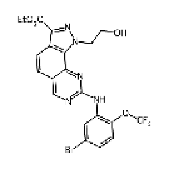 CCOC(=O)c1nn(CCO)c2c1ccc1cnc(Nc3cc(Br)ccc3OC(F)(F)F)nc12